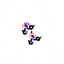 CCOC(=O)C(=O)N(Cc1ccc(F)cc1)Cc1ncccc1C.Cc1cccnc1CN(Cc1ccc(F)cc1)C(=O)C(N)=O